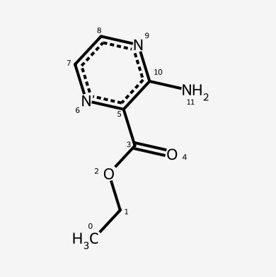 CCOC(=O)c1nccnc1N